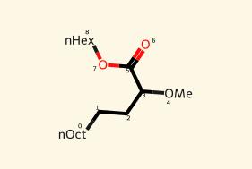 CCCCCCCCCCC(OC)C(=O)OCCCCCC